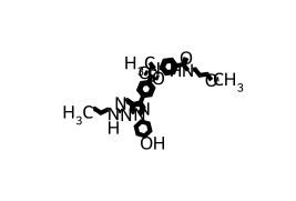 CCCCNc1ncc2c(-c3ccc(S(=O)(=O)N(C)c4ccc(C(=O)NCCCOC)cc4)cc3)nn([C@H]3CC[C@H](O)CC3)c2n1